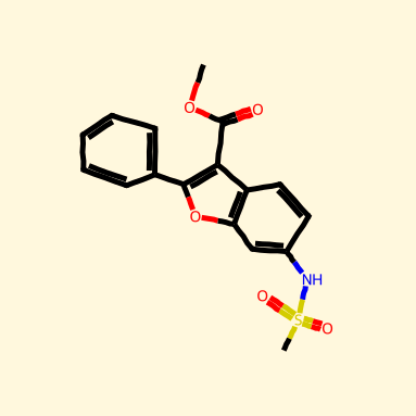 COC(=O)c1c(-c2ccccc2)oc2cc(NS(C)(=O)=O)ccc12